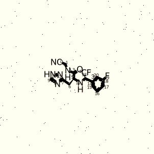 N#CCNC(=O)[C@H](Cc1nc[nH]n1)N[C@@H](c1cccc(F)c1)C(F)(F)F